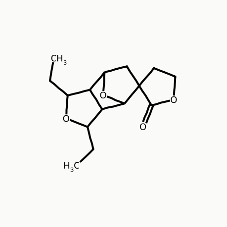 CCC1OC(CC)C2C1C1CC3(CCOC3=O)C2O1